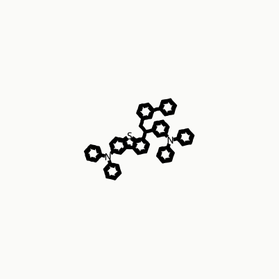 c1ccc(-c2cccc(CC(c3cccc(N(c4ccccc4)c4ccccc4)c3)c3cccc4c3sc3ccc(N(c5ccccc5)c5ccccc5)cc34)c2)cc1